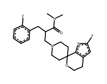 CN(C)C(=O)C(Cc1ccccc1F)CN1CCC2(CC1)OCCc1cc(F)sc12